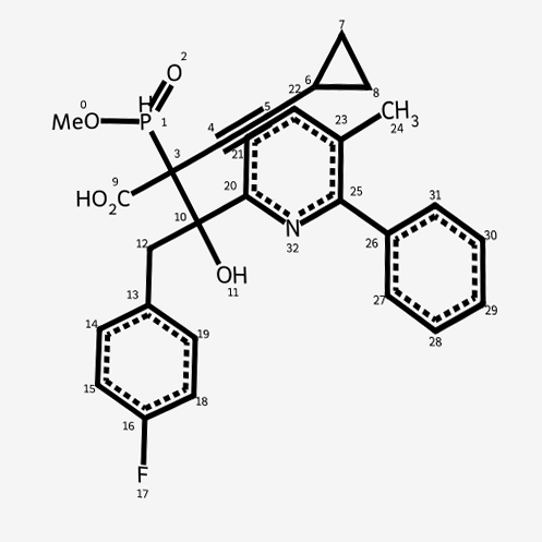 CO[PH](=O)C(C#CC1CC1)(C(=O)O)C(O)(Cc1ccc(F)cc1)c1ccc(C)c(-c2ccccc2)n1